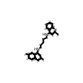 Cc1cc(NCCCCCNc2cc(C)nc3ccccc23)c2cc(C)ccc2c1